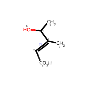 C/C(=C\C(=O)O)C(C)O